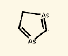 [C]1=[As]CC=[As]1